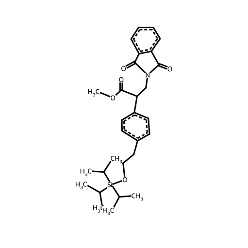 COC(=O)C(CN1C(=O)c2ccccc2C1=O)c1ccc(CCO[Si](C(C)C)(C(C)C)C(C)C)cc1